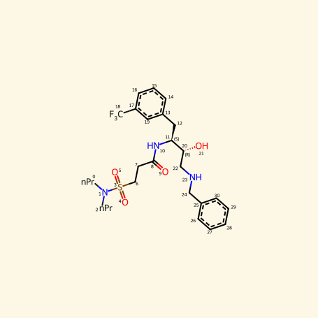 CCCN(CCC)S(=O)(=O)CCC(=O)N[C@@H](Cc1cccc(C(F)(F)F)c1)[C@H](O)CNCc1ccccc1